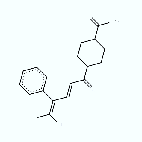 COC(=O)C1CCC(C(=O)/C=C/C(=C(\C)Br)c2ccccc2)CC1